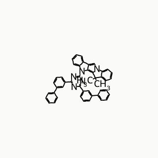 CC1(C)c2ccccc2-n2cc3c4ccccc4n(-c4nc(-c5cccc(-c6ccccc6)c5)nc(-c5cccc(-c6ccccc6)c5)n4)c3c21